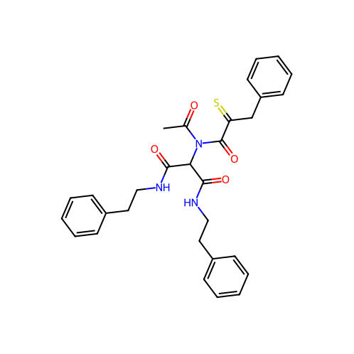 CC(=O)N(C(=O)C(=S)Cc1ccccc1)C(C(=O)NCCc1ccccc1)C(=O)NCCc1ccccc1